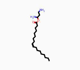 CCCCCCCC/C=C\CCCCCCCC(=O)OC(N)CCN